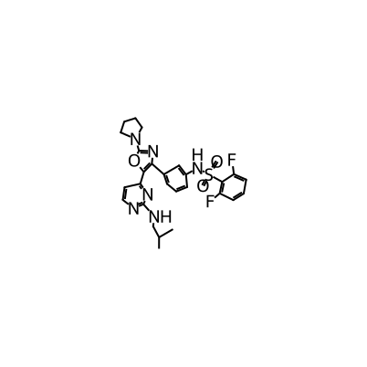 CC(C)CNc1nccc(-c2oc(N3CCCC3)nc2-c2cccc(NS(=O)(=O)c3c(F)cccc3F)c2)n1